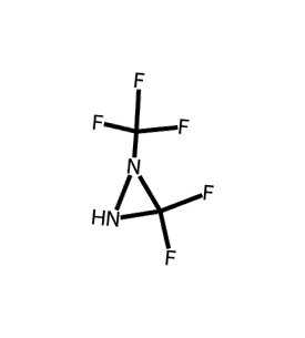 FC(F)(F)N1NC1(F)F